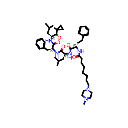 CC(C)C[C@H](NC(=O)[C@H](CCc1ccccc1)NC(=O)CCCCCCCN1CCN(C)CC1)C(=O)N[C@@H](Cc1ccccc1)C(=O)N[C@@H](CC(C)C)C(=O)C1(C)CC1